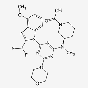 COc1cccc2c1nc(C(F)F)n2-c1nc(N2CCOCC2)nc(N(C)[C@@H]2CCCN(C(=O)O)C2)n1